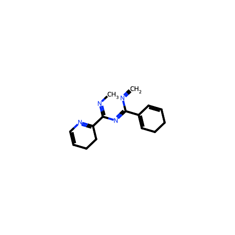 C=N/C(=N\C(=N/C)C1=NC=CCC1)C1=CCCC=C1